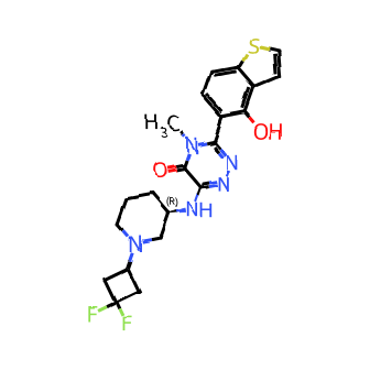 Cn1c(-c2ccc3sccc3c2O)nnc(N[C@@H]2CCCN(C3CC(F)(F)C3)C2)c1=O